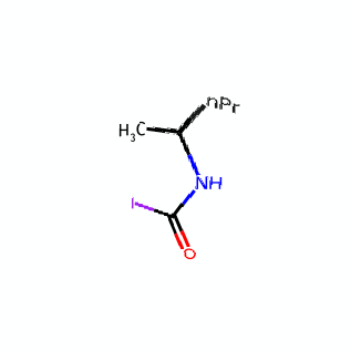 CCCC(C)NC(=O)I